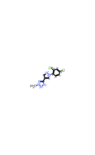 Cn1nnc(-c2cnn(-c3ccc(Cl)cc3Cl)c2)n1